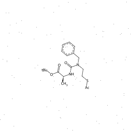 CC(=O)SCCN(Cc1ccccc1)C(=O)N[C@@H](C)C(=O)OC(C)(C)C